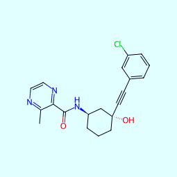 Cc1nccnc1C(=O)N[C@@H]1CCC[C@](O)(C#Cc2cccc(Cl)c2)C1